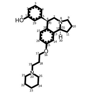 Oc1cccc([C@H]2CN3CCC[C@H]3c3cc(OCCCN4CCCCC4)ccc32)c1